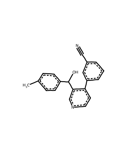 Cc1ccc(C(O)c2cnccc2-c2cccc(C#N)c2)cc1